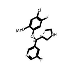 COc1cc(Cl)c(F)cc1O[C@H](c1cncc(F)c1)[C@@H]1CCNC1